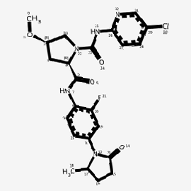 CO[C@@H]1C[C@H](C(=O)Nc2ccc(N3C(=O)CCC3C)cc2F)N(C(=O)Nc2ccc(Cl)cn2)C1